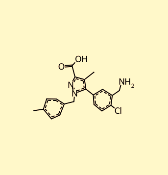 Cc1ccc(Cn2nc(C(=O)O)c(C)c2-c2ccc(Cl)c(CN)c2)cc1